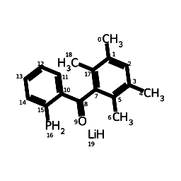 Cc1cc(C)c(C)c(C(=O)c2ccccc2P)c1C.[LiH]